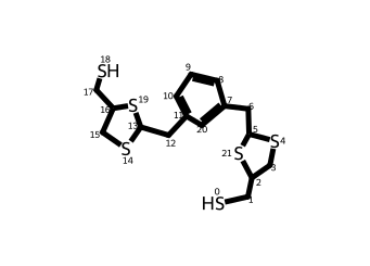 SCC1CSC(Cc2cccc(CC3SCC(CS)S3)c2)S1